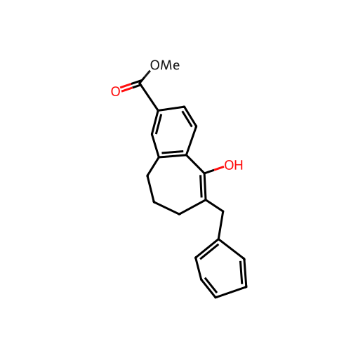 COC(=O)c1ccc2c(c1)CCCC(Cc1ccccc1)=C2O